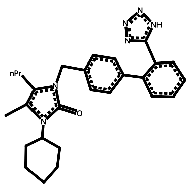 CCCc1c(C)n(C2CCCCC2)c(=O)n1Cc1ccc(-c2ccccc2-c2nnn[nH]2)cc1